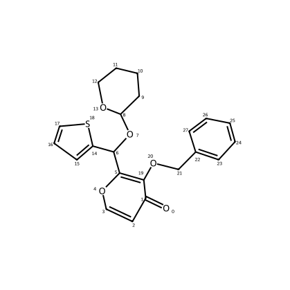 O=c1ccoc(C(OC2CCCCO2)c2cccs2)c1OCc1ccccc1